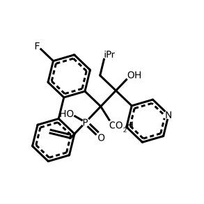 C=CP(=O)(O)C(C(=O)O)(c1ccc(F)cc1-c1ccccc1)C(O)(CC(C)C)c1cccnc1